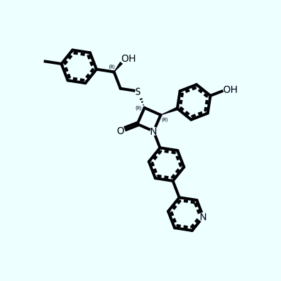 Cc1ccc([C@@H](O)CS[C@H]2C(=O)N(c3ccc(-c4cccnc4)cc3)[C@@H]2c2ccc(O)cc2)cc1